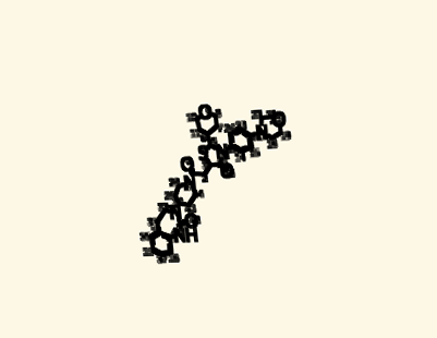 O=C(CC1SC(C2CCOCC2)N(c2ccc(N3CCOCC3)cc2)C1=O)N1CCC(N2CCc3ccccc3NC2=O)CC1